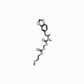 CSCCOC(=O)OCOC(=O)N(C)C(C)Cc1ccc2c(c1)OCO2